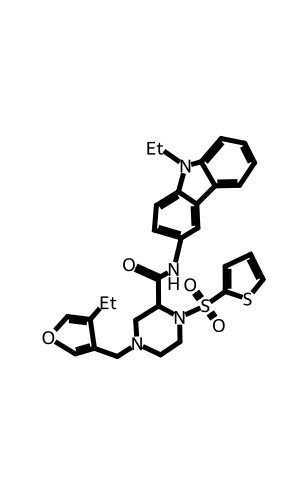 CCc1cocc1CN1CCN(S(=O)(=O)c2cccs2)C(C(=O)Nc2ccc3c(c2)c2ccccc2n3CC)C1